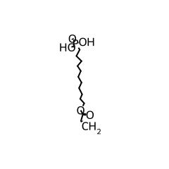 C=CC(=O)OCCCCCCCCCCCP(=O)(O)O